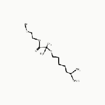 CCCCCC(C)CCCCCOC(C)(C)C(=O)OCCOC(C)C